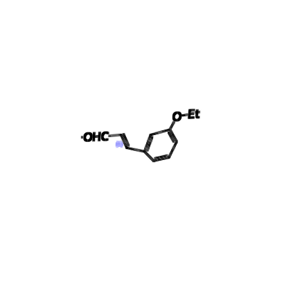 CCOc1cccc(/C=C/[C]=O)c1